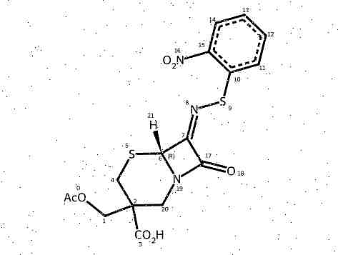 CC(=O)OCC1(C(=O)O)CS[C@@H]2C(=NSc3ccccc3[N+](=O)[O-])C(=O)N2C1